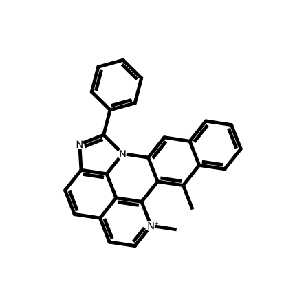 Cc1c2ccccc2cc2c1c1c3c(ccc4nc(-c5ccccc5)n2c43)cc[n+]1C